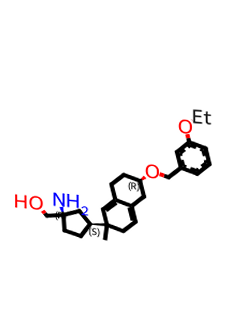 CCOc1cccc(CO[C@@H]2CCC3=CC(C)([C@H]4CC[C@](N)(CO)C4)CC=C3C2)c1